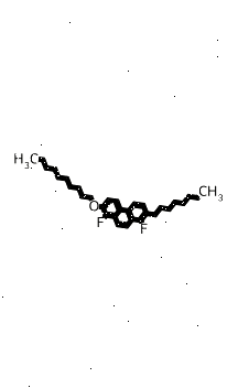 CCCCCCCCCCOc1ccc2c(ccc3c(F)c(CCCCCCCC)ccc32)c1F